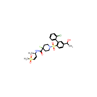 CC(O)c1ccc(S(=O)(=O)N2CCC(F)(C(=O)N[C@H](C)/C=C\S(C)(=O)=O)CC2)c(-c2ccccc2Cl)c1